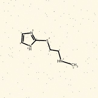 CNCCSc1ncc[nH]1